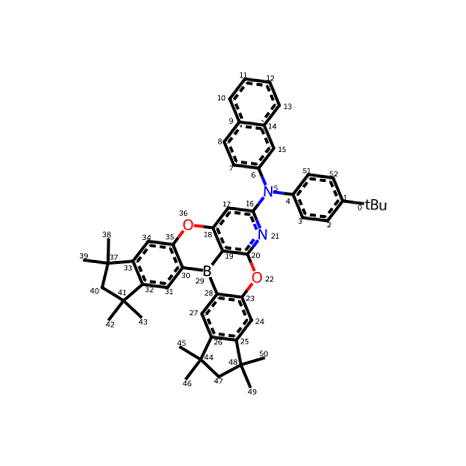 CC(C)(C)c1ccc(N(c2ccc3ccccc3c2)c2cc3c4c(n2)Oc2cc5c(cc2B4c2cc4c(cc2O3)C(C)(C)CC4(C)C)C(C)(C)CC5(C)C)cc1